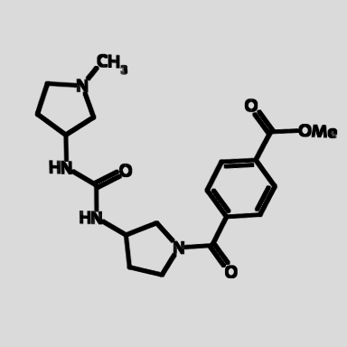 COC(=O)c1ccc(C(=O)N2CCC(NC(=O)NC3CCN(C)C3)C2)cc1